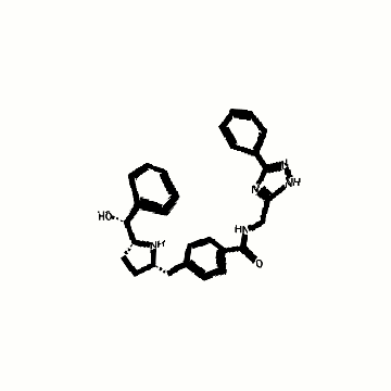 O=C(NCc1nc(-c2ccccc2)n[nH]1)c1ccc(C[C@@H]2CC[C@H]([C@H](O)c3ccccc3)N2)cc1